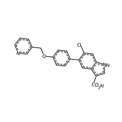 O=C(O)c1c[nH]c2cc(Cl)c(-c3ccc(OCc4cccnc4)cc3)cc12